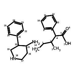 CCC(C)C(C(=O)O)c1ccccc1.NC1CCNCC1c1ccccc1